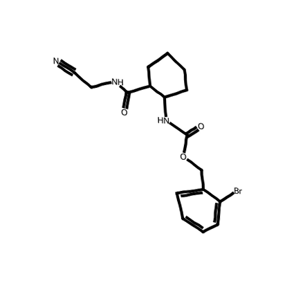 N#CCNC(=O)C1CCCCC1NC(=O)OCc1ccccc1Br